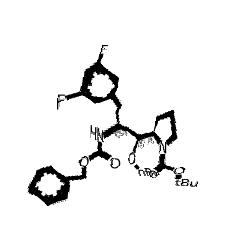 CCCCO[C@@H]([C@H](Cc1cc(F)cc(F)c1)NC(=O)OCc1ccccc1)[C@H]1CCCN1C(=O)OC(C)(C)C